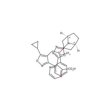 O=C(O)c1cccnc1-c1nnc(N2[C@@H]3CC[C@H]2CC(OCc2c(-c4ccccc4OC(F)(F)F)noc2C2CC2)C3)o1